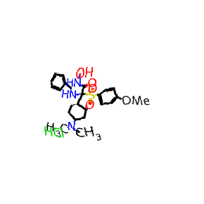 COc1ccc(S(=O)(=O)[C@@](NCc2ccccc2)(C(=O)NO)[C@H]2CC[C@H](N(C)C)CC2)cc1.Cl